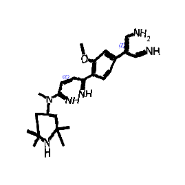 COc1cc(/C(C=N)=C/N)ccc1C(=N)/C=C\C(=N)N(C)C1CC(C)(C)NC(C)(C)C1